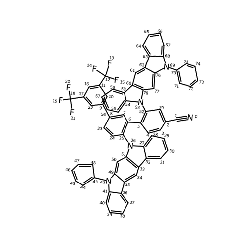 N#Cc1ccc(-c2cc(-c3cc(C(F)(F)F)cc(C(F)(F)F)c3)ccc2-n2c3ccccc3c3cc4c5ccccc5n(-c5ccccc5)c4cc32)c(-n2c3ccccc3c3cc4c5ccccc5n(-c5ccccc5)c4cc32)c1